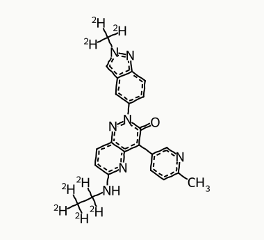 [2H]C([2H])([2H])n1cc2cc(-n3nc4ccc(NC([2H])([2H])C([2H])([2H])[2H])nc4c(-c4ccc(C)nc4)c3=O)ccc2n1